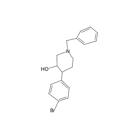 OC1CN(Cc2ccccc2)CCC1c1ccc(Br)cc1